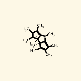 CC1=C(C)[C@]2(C)C(=C1C)P(C)C1=C(C)C(C)=C(C)[C@]12C